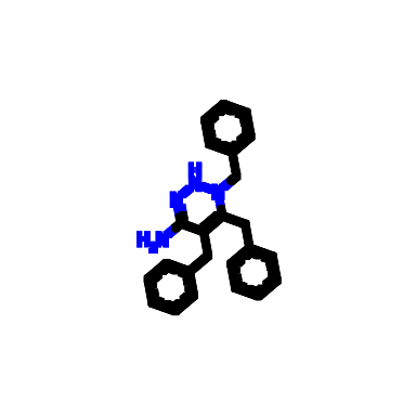 NC1=NNN(Cc2ccccc2)C(Cc2ccccc2)=C1Cc1ccccc1